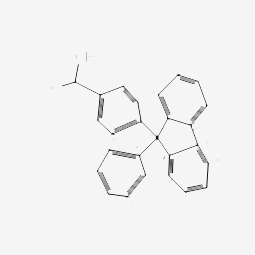 CC(C)c1ccc(C2(c3ccccc3)c3ccccc3-c3ccccc32)cc1